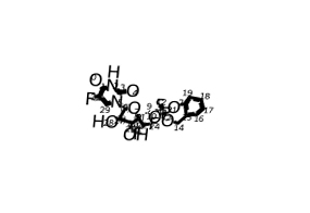 O=c1[nH]c(=O)n([C@@H]2O[C@@](COP3(=S)OCc4ccccc4O3)(C(F)F)[C@@H](O)[C@@H]2O)cc1F